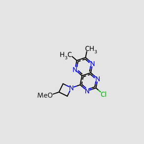 COC1CN(c2nc(Cl)nc3nc(C)c(C)nc23)C1